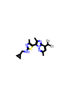 CCC(CC)c1cc(C)nn2c(-c3sc(NCC4CC4)nc3C)c(C)nc12